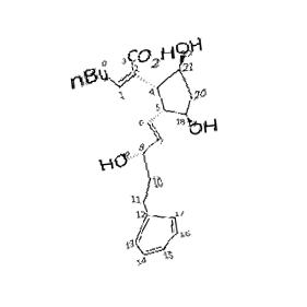 CCCCC=C(C(=O)O)[C@H]1[C@@H](C=C[C@@H](O)CCc2ccccc2)[C@H](O)C[C@@H]1O